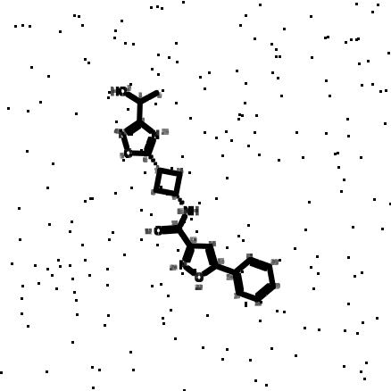 CC(O)c1noc([C@H]2C[C@@H](NC(=O)c3cc(-c4ccccc4)on3)C2)n1